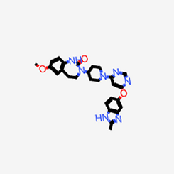 COc1ccc2c(c1)CCN(C1CCN(c3cc(Oc4ccc5[nH]c(C)nc5c4)ncn3)CC1)C(=O)N2